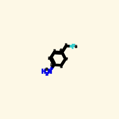 NC1=CC=C(CF)CC1